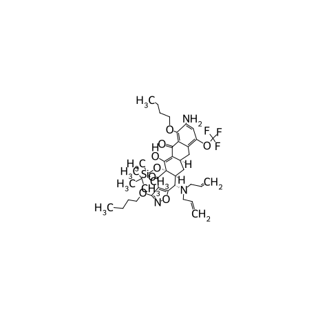 C=CCN(CC=C)[C@@H]1c2onc(OCCCC)c2C(=O)[C@@]2(O[Si](C)(C)C(C)(C)C)C(O)=C3C(=O)c4c(c(OC(F)(F)F)cc(N)c4OCCCC)C[C@H]3C[C@@H]12